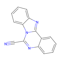 N#Cc1nc2ccccc2c2nc3ccccc3n12